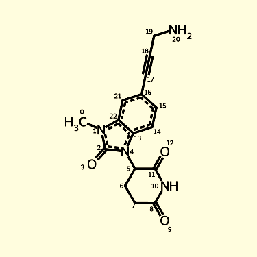 Cn1c(=O)n(C2CCC(=O)NC2=O)c2ccc(C#CCN)cc21